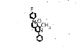 Cc1nc(-c2ccccc2)cc2ccn(-c3ccc(F)cc3)c(=O)c12